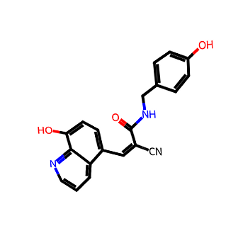 N#CC(=Cc1ccc(O)c2ncccc12)C(=O)NCc1ccc(O)cc1